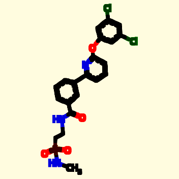 CNS(=O)(=O)CCNC(=O)c1cccc(-c2cccc(Oc3cc(Cl)cc(Cl)c3)n2)c1